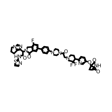 O=C1NC(=O)C2(Oc3ccc(C4CCN(CC(=O)N5CCN(c6ccc(-c7cc(F)c8c(c7)C(=O)N(C(C(=O)Nc7nccs7)c7ncn9c7CCC9)C8)cc6)CC5)CC4(F)F)nc3)CC1C2